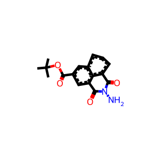 CC(C)(C)OC(=O)c1cc2c3c(cccc3c1)C(=O)N(N)C2=O